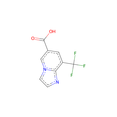 O=C(O)c1cc(C(F)(F)F)c2nccn2c1